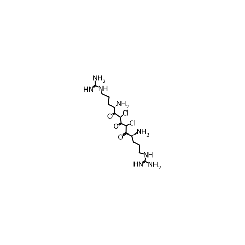 N=C(N)NCCC[C@H](N)C(=O)C(Cl)C(=O)C(Cl)C(=O)[C@@H](N)CCCNC(=N)N